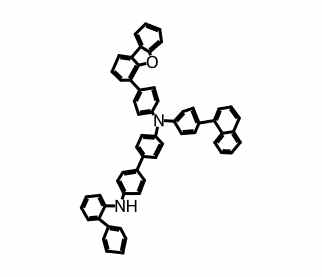 c1ccc(-c2ccccc2Nc2ccc(-c3ccc(N(c4ccc(-c5cccc6ccccc56)cc4)c4ccc(-c5cccc6c5oc5ccccc56)cc4)cc3)cc2)cc1